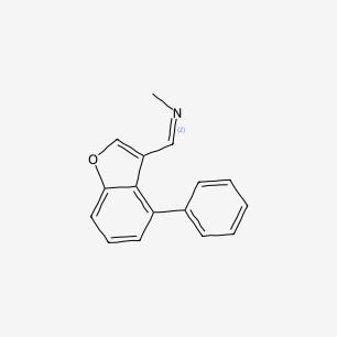 C/N=C\c1coc2cccc(-c3ccccc3)c12